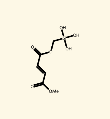 COC(=O)C=CC(=O)OC[Si](O)(O)O